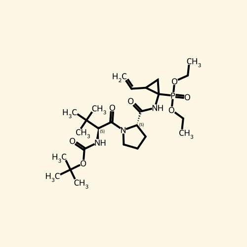 C=CC1CC1(NC(=O)[C@@H]1CCCN1C(=O)[C@@H](NC(=O)OC(C)(C)C)C(C)(C)C)P(=O)(OCC)OCC